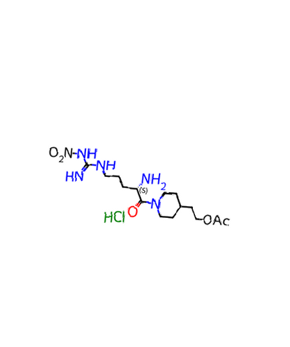 CC(=O)OCCC1CCN(C(=O)[C@@H](N)CCCNC(=N)N[N+](=O)[O-])CC1.Cl